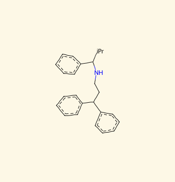 CC(C)C(NCCC(c1ccccc1)c1ccccc1)c1ccccc1